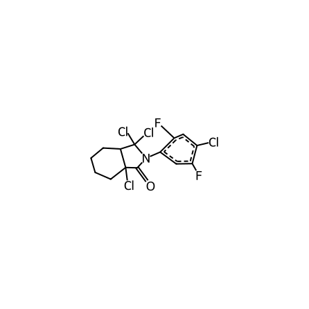 O=C1N(c2cc(F)c(Cl)cc2F)C(Cl)(Cl)C2CCCCC12Cl